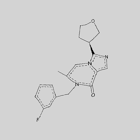 Cc1cn2c([C@H]3CCOC3)ncc2c(=O)n1Cc1cccc(F)c1